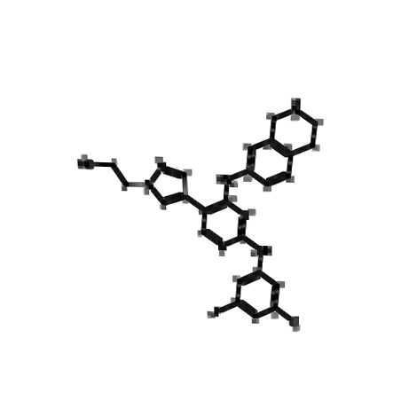 OCCn1cc(-c2cnc(Nc3cc(F)cc(Cl)c3)nc2Nc2ccc3c(c2)CNCC3)cn1